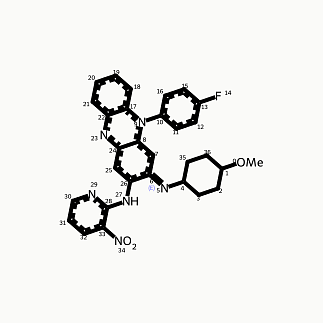 COC1CCC(/N=c2\cc3n(-c4ccc(F)cc4)c4ccccc4nc-3cc2Nc2ncccc2[N+](=O)[O-])CC1